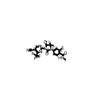 CNC(=O)c1ccc(N2C(=O)N(c3ncc(C#N)c(C(F)(F)F)n3)C(=O)C2(C)C)cc1F